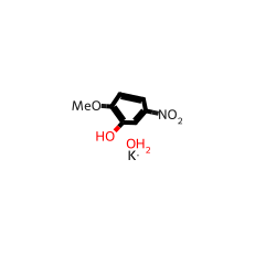 COc1ccc([N+](=O)[O-])cc1O.O.[K]